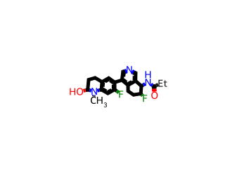 CCC(=O)NC1c2cncc(-c3cc4c(cc3F)N(C)C(O)CC4)c2CCC1F